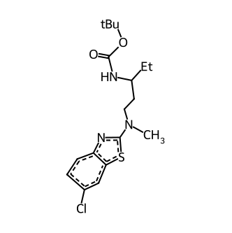 CCC(CCN(C)c1nc2ccc(Cl)cc2s1)NC(=O)OC(C)(C)C